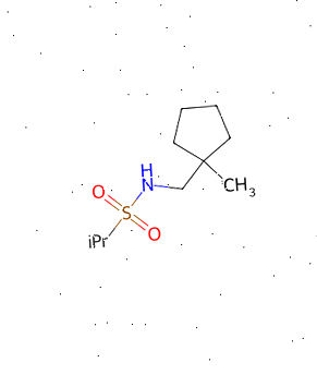 CC(C)S(=O)(=O)NCC1(C)CCCC1